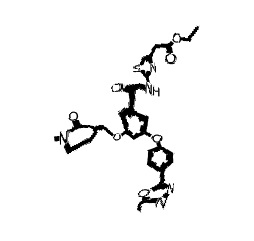 CCOC(=O)Cc1csc(NC(=O)c2cc(OCC3CCN(C)C3=O)cc(Oc3ccc(-c4nnc(C)o4)cc3)c2)n1